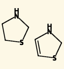 C1=CSCN1.C1CSCN1